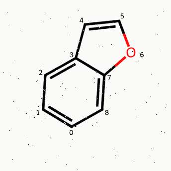 [c]1ccc2ccoc2c1